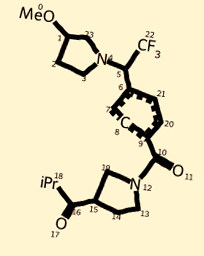 COC1CCN(C(c2ccc(C(=O)N3CCC(C(=O)C(C)C)C3)cc2)C(F)(F)F)C1